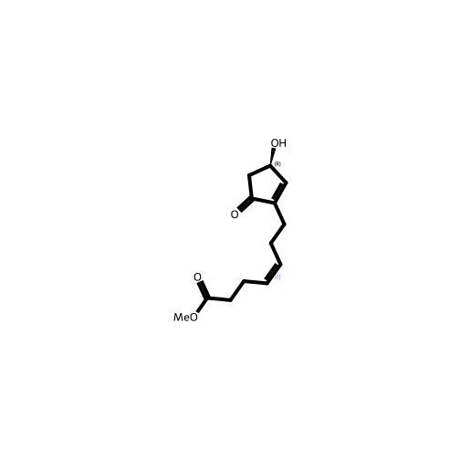 COC(=O)CC/C=C\CCC1=C[C@H](O)CC1=O